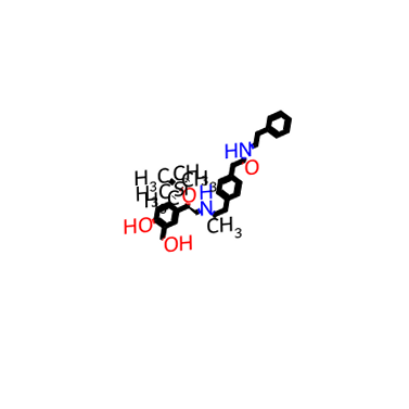 C[C@H](Cc1ccc(CC(=O)NCCc2ccccc2)cc1)NC[C@H](O[Si](C)(C)C(C)(C)C)c1ccc(O)c(CO)c1